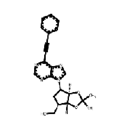 CC1(C)O[C@@H]2[C@@H](CO)C[C@@H](n3cnc4c(C#Cc5ccccc5)ncnc43)[C@H]2O1